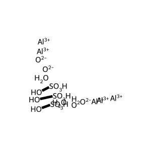 O.O.O.O=S(=O)(O)O.O=S(=O)(O)O.O=S(=O)(O)O.[Al+3].[Al+3].[Al+3].[Al+3].[Al+3].[O-2].[O-2].[O-2]